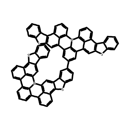 c1cc2c3c(c1)-c1cccc4c1c(cc1c5cc(-c6cc7c8c(c6)-c6cc9sc%10ccccc%10c9c9cccc(c69)B8c6cccc8c6c-7cc6sc7ccccc7c68)ccc5sc41)B3c1cc3c4ccccc4sc3c3cccc-2c13